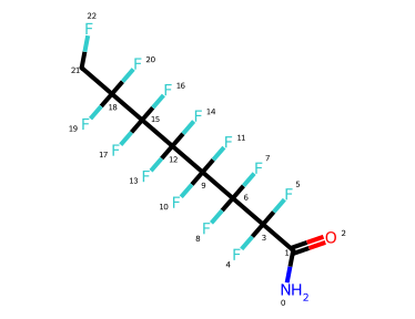 NC(=O)C(F)(F)C(F)(F)C(F)(F)C(F)(F)C(F)(F)C(F)(F)CF